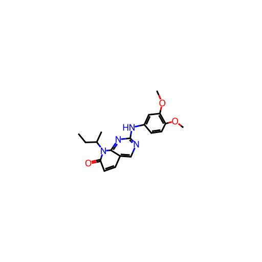 CCC(C)n1c(=O)ccc2cnc(Nc3ccc(OC)c(OC)c3)nc21